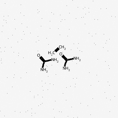 C=C.NC(N)=O.NC(N)=O